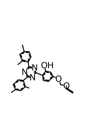 C=COCOc1ccc(-c2nc(-c3ccc(C)cc3C)nc(-c3ccc(C)cc3C)n2)c(O)c1